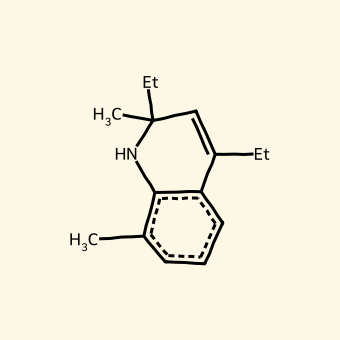 CCC1=CC(C)(CC)Nc2c(C)cccc21